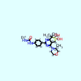 CCNC(=O)Nc1ccc(-c2nc(N3CCOC[C@H]3C)c3c(n2)C(C)(C)S(O)(O)C3)cc1